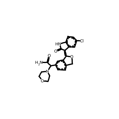 NC(=O)C(c1ccc2c(c1)C(=C1C(=O)Nc3ccc(Cl)cc31)OC2)N1CCOCC1